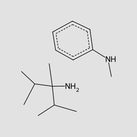 CC(C)C(C)(N)C(C)C.CNc1ccccc1